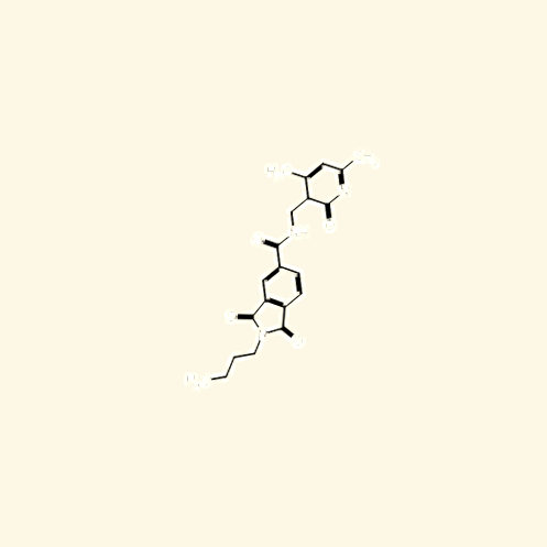 CCCCN1C(=O)c2ccc(C(=O)NCC3C(=O)N=C(C)C=C3C)cc2C1=O